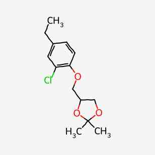 CCc1ccc(OCC2COC(C)(C)O2)c(Cl)c1